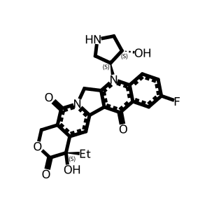 CC[C@@]1(O)C(=O)OCc2c1cc1n(c2=O)Cc2c-1c(=O)c1cc(F)ccc1n2[C@H]1CNC[C@@H]1O